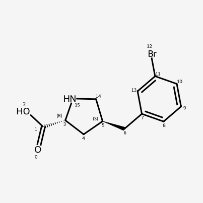 O=C(O)[C@H]1C[C@H](Cc2cccc(Br)c2)CN1